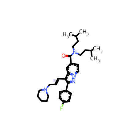 CC(C)CCN(CCC(C)C)C(=O)c1ccn2nc(-c3ccc(F)cc3)c(/C=C/CN3CCCCC3)c2c1